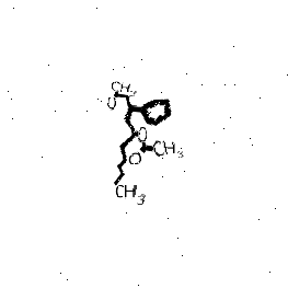 CCCCCCC(CC(CC(C)=O)c1ccccc1)OC(C)=O